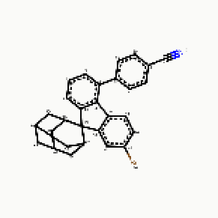 N#Cc1ccc(-c2cccc3c2-c2ccc(Br)cc2C32C3CC4CC(C3)CC2C4)cc1